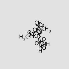 C=CC(=O)OC(C)CC(O)(CCn1c(=O)[nH]c(=O)[nH]c1=O)CC(C)OC(=O)C=C